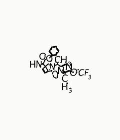 Cc1nc(C(C)N2CC3(C(=N)C(=O)Oc4ccccc4)C=CC3C2=O)cnc1OCC(F)(F)F